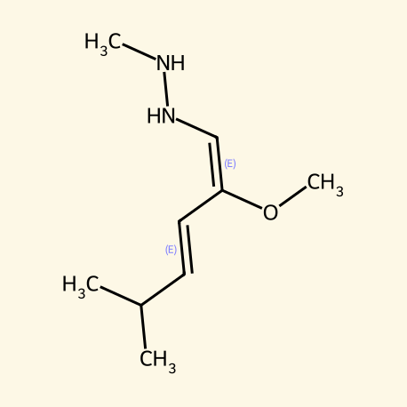 CNN/C=C(\C=C\C(C)C)OC